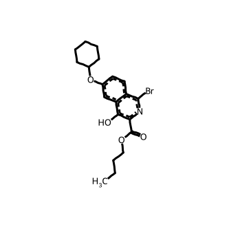 CCCCOC(=O)c1nc(Br)c2ccc(OC3CCCCC3)cc2c1O